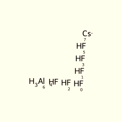 F.F.F.F.F.F.[AlH3].[Cs]